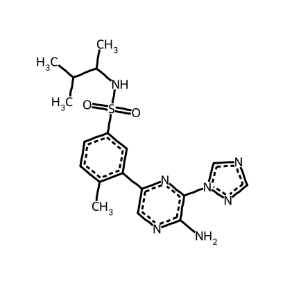 Cc1ccc(S(=O)(=O)NC(C)C(C)C)cc1-c1cnc(N)c(-n2cncn2)n1